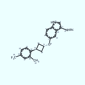 CC(=O)Nc1c[nH]c2ccc(O[C@H]3C[C@H](c4ccc(C(F)(F)F)cc4C)C3)cc12